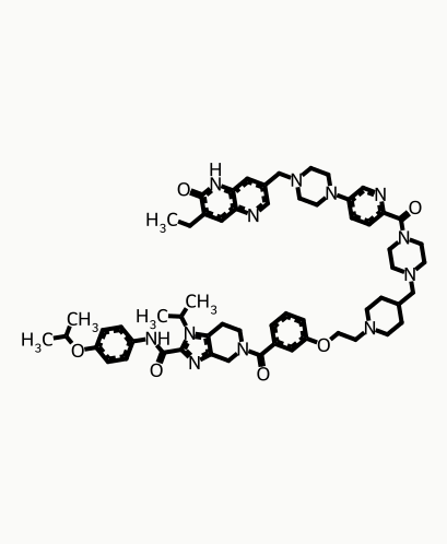 CCc1cc2ncc(CN3CCN(c4ccc(C(=O)N5CCN(CC6CCN(CCOc7cccc(C(=O)N8CCc9c(nc(C(=O)Nc%10ccc(OC(C)C)cc%10)n9C(C)C)C8)c7)CC6)CC5)nc4)CC3)cc2[nH]c1=O